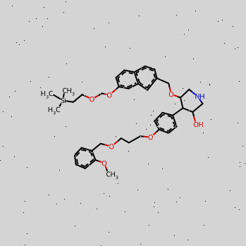 COc1ccccc1COCCCOc1ccc(C2C(O)CNCC2OCc2ccc3ccc(OCOCC[Si](C)(C)C)cc3c2)cc1